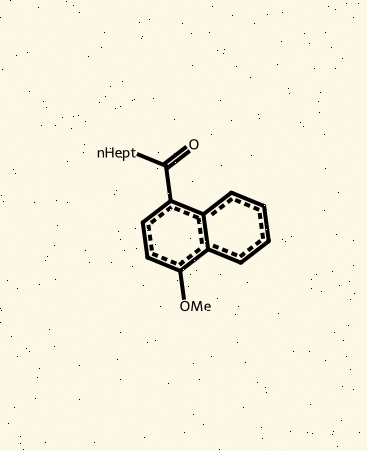 CCCCCCCC(=O)c1ccc(OC)c2ccccc12